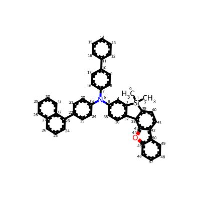 C[Si]1(C)c2cc(N(c3ccc(-c4ccccc4)cc3)c3ccc(-c4cccc5ccccc45)cc3)ccc2-c2c1ccc1c2oc2ccccc21